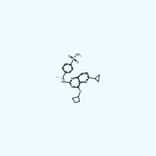 C[C@@H](Nc1nc(OC2CCC2)c2nc(C3CC3)ccc2n1)c1ccc(S(N)(=O)=O)cc1